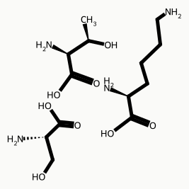 C[C@@H](O)[C@H](N)C(=O)O.NCCCC[C@H](N)C(=O)O.N[C@@H](CO)C(=O)O